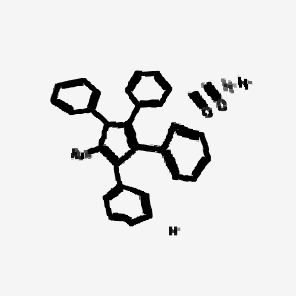 [C]=O.[C]=O.[H-].[H-].[H-].[Ru+3][C]1=C(c2ccccc2)C(c2ccccc2)=C(c2ccccc2)C1c1ccccc1